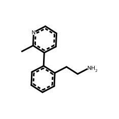 Cc1ncccc1-c1ccccc1CCN